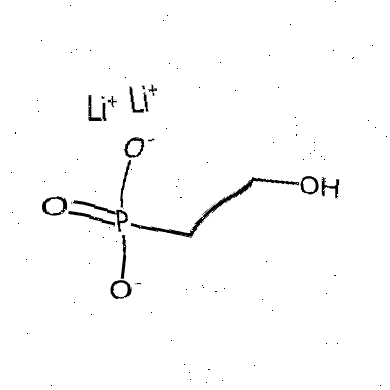 O=P([O-])([O-])CCO.[Li+].[Li+]